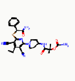 CCc1c(C#N)c(SC(C(N)=O)c2ccccc2)nc(N2CCC(NC(=O)C(C)(C)OC(N)=O)CC2)c1C#N